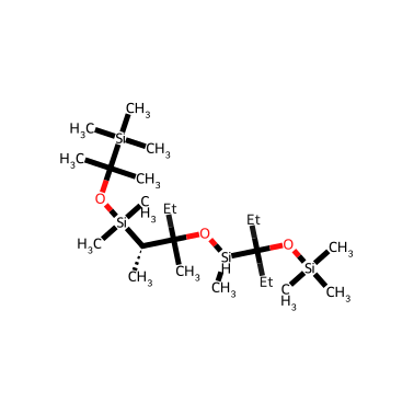 CCC(C)(O[SiH](C)C(CC)(CC)O[Si](C)(C)C)[C@H](C)[Si](C)(C)OC(C)(C)[Si](C)(C)C